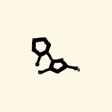 CCc1cc(C(F)(F)F)nn1-c1ccccc1Br